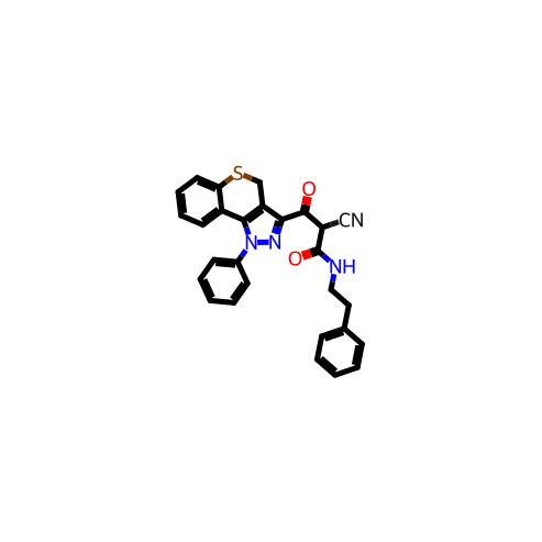 N#CC(C(=O)NCCc1ccccc1)C(=O)c1nn(-c2ccccc2)c2c1CSc1ccccc1-2